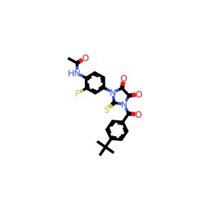 CC(=O)Nc1ccc(N2C(=O)C(=O)N(C(=O)c3ccc(C(C)(C)C)cc3)C2=S)cc1F